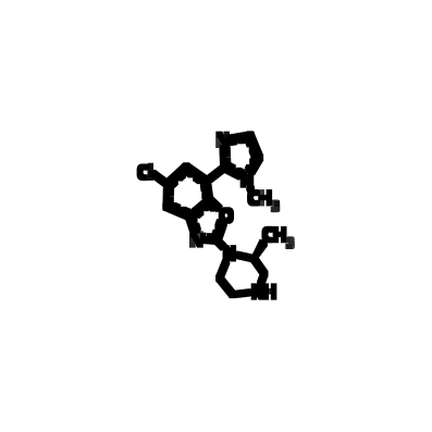 C[C@H]1CNCCN1c1nc2cc(Cl)cc(-c3nccn3C)c2o1